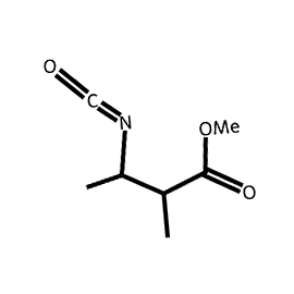 COC(=O)C(C)C(C)N=C=O